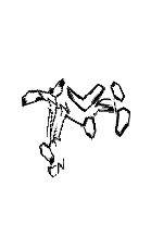 N#Cc1cccc(-c2nc(-c3cccc([Si](c4ccccc4)(c4ccccc4)c4ccccc4)c3)nc(-n3c4ccccc4c4ccccc43)n2)c1